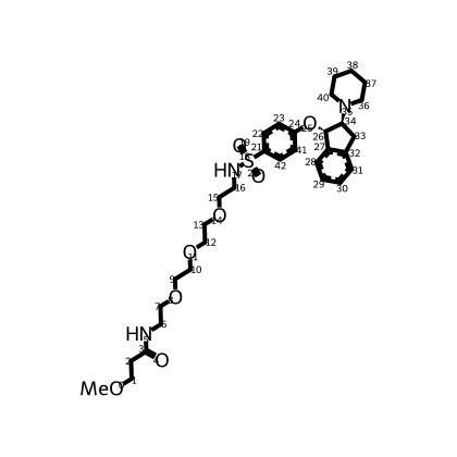 COCCC(=O)NCCOCCOCCOCCNS(=O)(=O)c1ccc(O[C@H]2c3ccccc3C[C@@H]2N2CCCCC2)cc1